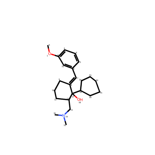 COc1cccc(C=C2CCCC(CN(C)C)C2(O)C2CCCCC2)c1